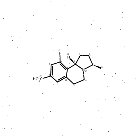 C[C@@H]1CC[C@H]2c3c(F)cc(C(=O)O)cc3CCN12